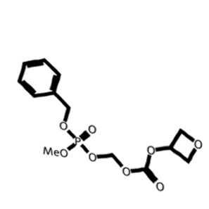 COP(=O)(OCOC(=O)OC1COC1)OCc1ccccc1